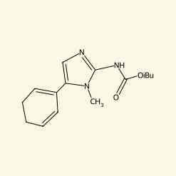 CC(C)COC(=O)Nc1ncc(C2=CCCC=C2)n1C